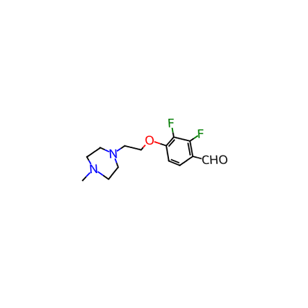 CN1CCN(CCOc2ccc(C=O)c(F)c2F)CC1